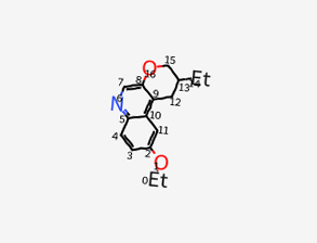 CCOc1ccc2ncc3c(c2c1)CC(CC)CO3